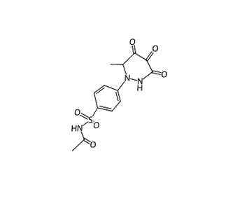 CC(=O)NS(=O)(=O)c1ccc(N2NC(=O)C(=O)C(=O)C2C)cc1